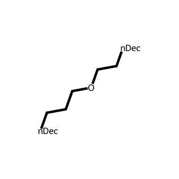 CCCCCCCCCCCCCOCCCCCCCCCCCC